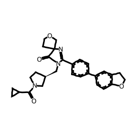 O=C(C1CC1)N1CC[C@@H](CN2C(=O)C3(CCOC3)N=C2c2ccc(-c3ccc4c(c3)CCO4)cc2)C1